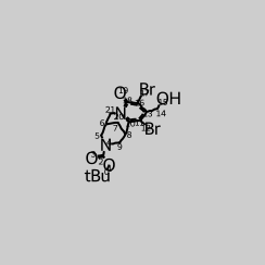 CC(C)(C)OC(=O)N1CC2CC(C1)c1c(Br)c(CO)c(Br)c(=O)n1C2